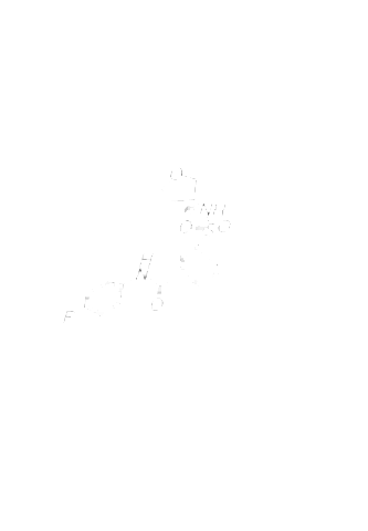 O=C(Nc1ccc(F)cc1)c1cccc(S(=O)(=O)N[C@@H]2CCOC2)c1